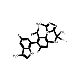 Cc1c[nH]c2c(-c3c(F)cc4c(c3C(F)F)-n3c(C)nnc3C(C)(C)N4)cc(F)cc12